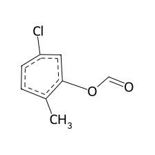 Cc1ccc(Cl)cc1OC=O